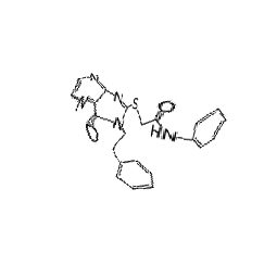 O=C(CSc1nc2nccnc2c(=O)n1CCc1ccccc1)Nc1ccccc1